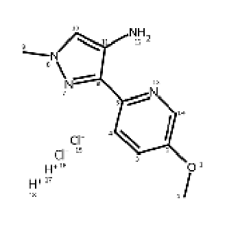 COc1ccc(-c2nn(C)cc2N)nc1.[Cl-].[Cl-].[H+].[H+]